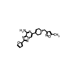 Cc1cc(CN2CC=C(c3cn4nc(-c5ccco5)nc4c(N)n3)CC2)no1